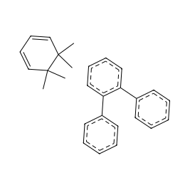 CC1(C)C=CC=CC1(C)C.c1ccc(-c2ccccc2-c2ccccc2)cc1